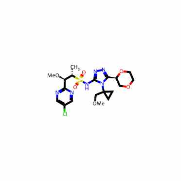 COCC1(n2c(NS(=O)(=O)[C@@H](C)[C@H](OC)c3ncc(Cl)cn3)nnc2[C@@H]2COCCO2)CC1